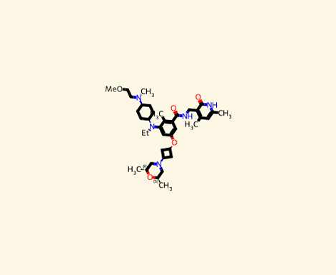 CCN(c1cc(O[C@H]2C[C@H](N3C[C@@H](C)O[C@@H](C)C3)C2)cc(C(=O)NCc2c(C)cc(C)[nH]c2=O)c1C)[C@H]1CC[C@H](N(C)CCOC)CC1